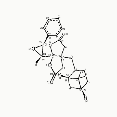 CC1(C)[C@@H]2CCC(C[N+]34CC(=O)O[B-]3([C@]3(C)O[C@H]3c3ccccc3)OC(=O)C4)[C@H]1C2